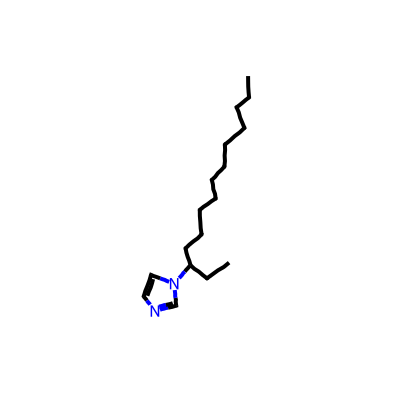 CCCCCCCCCCCC(CC)n1ccnc1